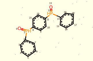 O=[PH](c1ccccc1)c1ccc([PH](=O)c2ccccc2)cc1